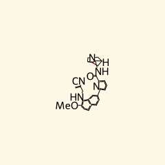 C=C(C#N)CNc1c(OC)ccc2ccc(-c3cccc(C(=O)NC4CC5CN6C[C@H]4CC56)n3)cc12